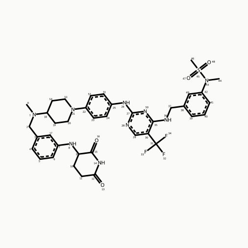 CN(Cc1cccc(NC2CCC(=O)NC2=O)c1)C1CCN(c2ccc(Nc3ncc(C(F)(F)F)c(NCc4cccc(N(C)S(C)(=O)=O)c4)n3)cc2)CC1